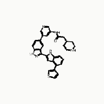 O=C(CC1CCNCC1)Nc1cncc(-c2ccc3[nH]nc(-c4cc5c(-c6ccsc6)cccc5[nH]4)c3c2)c1